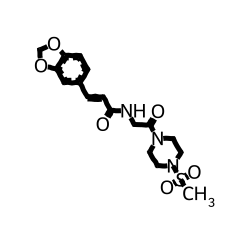 CS(=O)(=O)N1CCN(C(=O)CNC(=O)/C=C/c2ccc3c(c2)OCO3)CC1